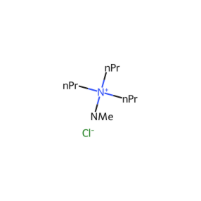 CCC[N+](CCC)(CCC)NC.[Cl-]